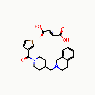 O=C(O)/C=C/C(=O)O.O=C(c1ccsc1)N1CCC(CN2CCc3ccccc3C2)CC1